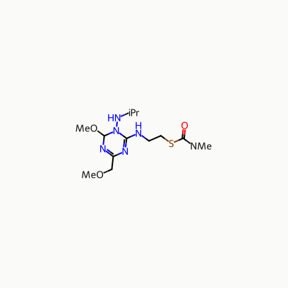 CNC(=O)SCCNC1=NC(COC)=NC(OC)N1NC(C)C